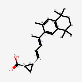 C/C(=C\C=C\[C@@H]1C[C@H]1C(=O)O)c1cc2c(cc1C)C(C)(C)CCC2(C)C